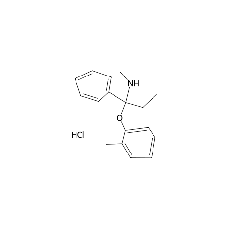 CCC(NC)(Oc1ccccc1C)c1ccccc1.Cl